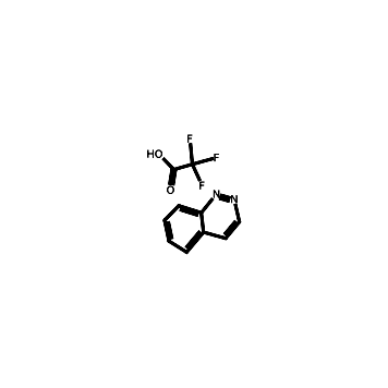 O=C(O)C(F)(F)F.c1ccc2nnccc2c1